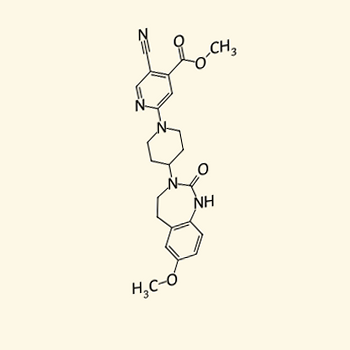 COC(=O)c1cc(N2CCC(N3CCc4cc(OC)ccc4NC3=O)CC2)ncc1C#N